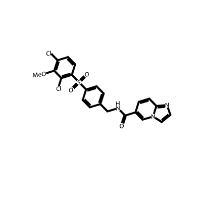 COc1c(Cl)ccc(S(=O)(=O)c2ccc(CNC(=O)c3ccc4nccn4c3)cc2)c1Cl